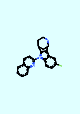 Fc1ccc2c(c1)c1c(n2-c2ccc3ccccc3n2)C2CCN(CC2)C1